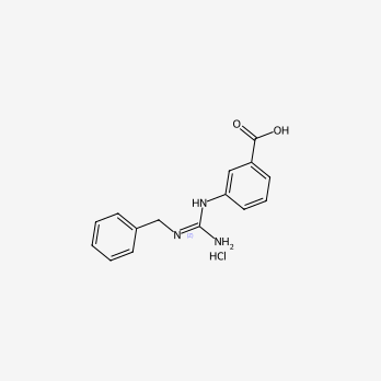 Cl.N/C(=N/Cc1ccccc1)Nc1cccc(C(=O)O)c1